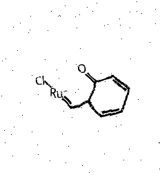 O=C1C=CC=CC1[CH]=[Ru-][Cl]